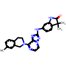 CC1(C)C(=O)Nc2cc(Nc3nc4c(N5CCc6ccc(C#N)cc6C5)nccn4n3)ccc21